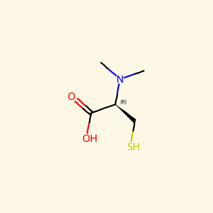 CN(C)[C@@H](CS)C(=O)O